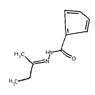 CC/C(C)=N/NC(=O)c1ccccc1